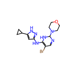 BrC1=C(Nc2cc(C3CC3)[nH]n2)NC(N2CCOCC2)N=C1